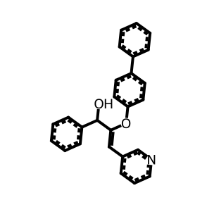 OC(C(=Cc1cccnc1)Oc1ccc(-c2ccccc2)cc1)c1ccccc1